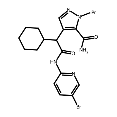 CC(C)n1ncc(C(C(=O)Nc2ccc(Br)cn2)C2CCCCC2)c1C(N)=O